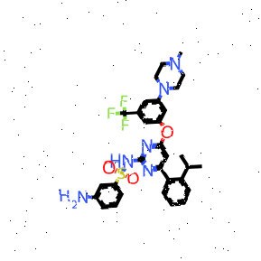 CC(C)c1ccccc1-c1cc(Oc2cc(N3CCN(C)CC3)cc(C(F)(F)F)c2)nc(NS(=O)(=O)c2cccc(N)c2)n1